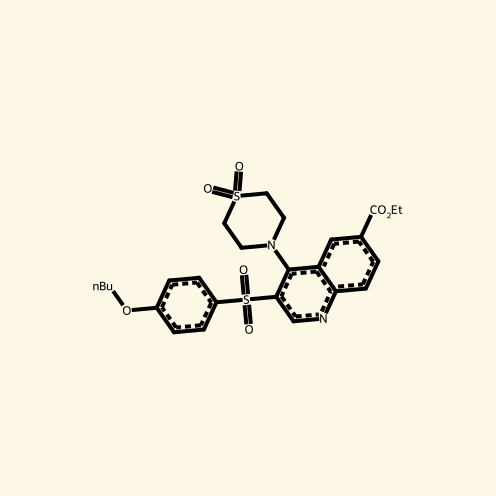 CCCCOc1ccc(S(=O)(=O)c2cnc3ccc(C(=O)OCC)cc3c2N2CCS(=O)(=O)CC2)cc1